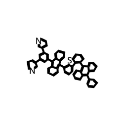 c1ccc(-c2c3ccccc3c(-c3cccc4sc5c(-c6c7ccccc7c(-c7cc(-c8cccnc8)cc(-c8cccnc8)c7)c7ccccc67)cccc5c34)c3ccccc23)cc1